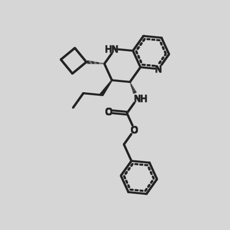 CCC[C@@H]1[C@@H](NC(=O)OCc2ccccc2)c2ncccc2N[C@H]1C1CCC1